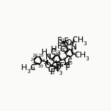 CC1=Nc2c(C)cc(C(c3cc(C)c4c(c3)C(C)(C(F)(F)F)OC(c3cccc(C)c3)=N4)C(F)(F)F)cc2C(C)(C(F)(F)F)O1